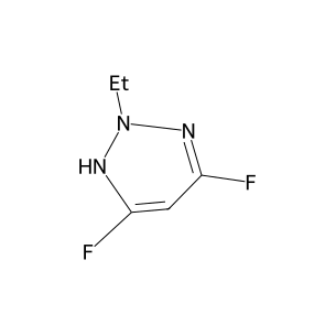 CCN1N=C(F)C=C(F)N1